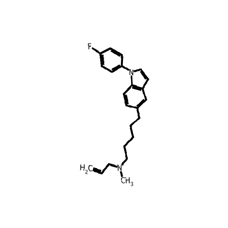 C=CCN(C)CCCCCc1ccc2c(ccn2-c2ccc(F)cc2)c1